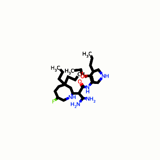 CCCC1CNCC(NC(=O)C(C(N)N)C2CC(CCC)(CCC)CCC(F)CN2)=C1OCC